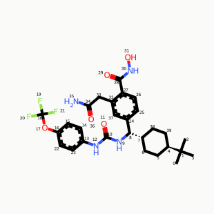 CC(C)(C)[C@H]1CC[C@H](C(NC(=O)Nc2ccc(OC(F)(F)F)cc2)c2ccc(C(=O)NO)c(CC(N)=O)c2)CC1